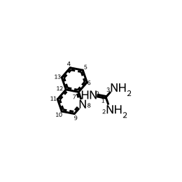 N=C(N)N.c1ccc2ncccc2c1